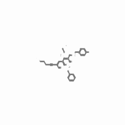 O=C(NCc1ccc(F)cc1F)c1c(NCCO)c2cc(C#CCCCO)cnc2n(OCc2ccccc2)c1=O